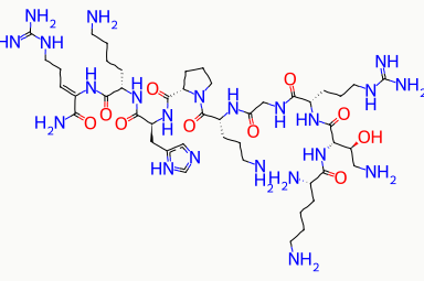 N=C(N)NCC/C=C(\NC(=O)[C@H](CCCCN)NC(=O)[C@H](Cc1cnc[nH]1)NC(=O)[C@@H]1CCCN1C(=O)[C@@H](CCCN)NC(=O)CNC(=O)[C@H](CCCNC(=N)N)NC(=O)[C@@H](NC(=O)[C@@H](N)CCCCN)[C@@H](O)CN)C(N)=O